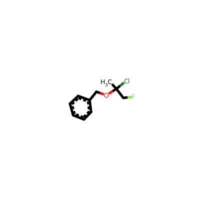 CC(Cl)(CF)OCc1ccccc1